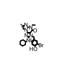 CCN1C(=O)c2c(nc(NC3CCCCC3)n2Cc2ccc(O)c(Br)c2)N2C[C@@H](C)N=C12